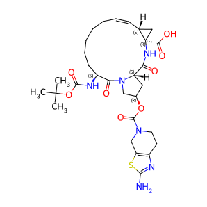 CC(C)(C)OC(=O)N[C@H]1CCCCCC=C[C@@H]2C[C@@]2(C(=O)O)NC(=O)[C@@H]2C[C@@H](OC(=O)N3CCc4nc(N)sc4C3)CN2C1=O